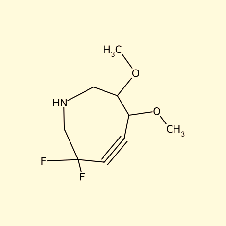 COC1C#CC(F)(F)CNCC1OC